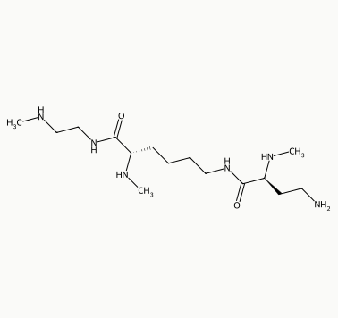 CNCCNC(=O)[C@H](CCCCNC(=O)[C@H](CCN)NC)NC